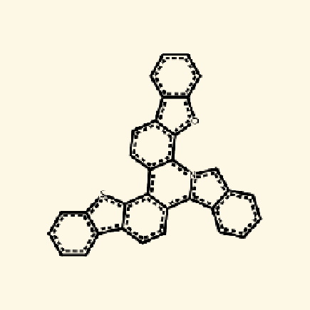 c1ccc2c(c1)cn1c2c2ccc3c4ccccc4sc3c2c2ccc3c4ccccc4oc3c21